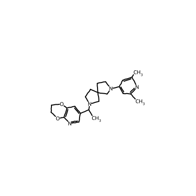 Cc1cc(N2CCC3(CCN(C(C)c4cnc5c(c4)OCCO5)C3)C2)cc(C)n1